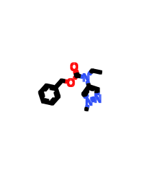 CCN(C(=O)OCc1ccccc1)c1cnn(C)c1